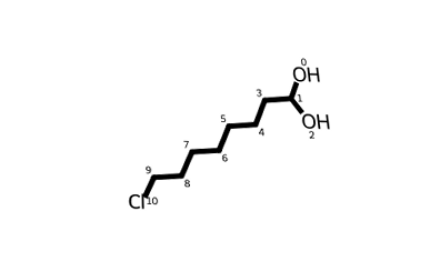 OC(O)CCCCCCCCl